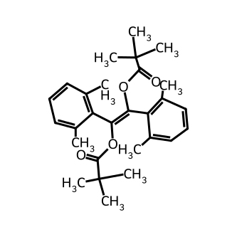 Cc1cccc(C)c1/C(OC(=O)C(C)(C)C)=C(\OC(=O)C(C)(C)C)c1c(C)cccc1C